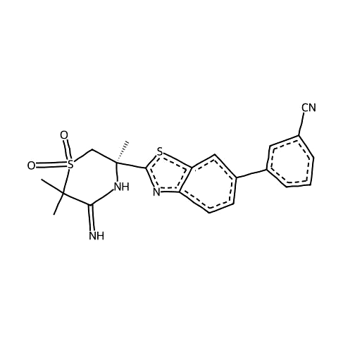 CC1(C)C(=N)N[C@](C)(c2nc3ccc(-c4cccc(C#N)c4)cc3s2)CS1(=O)=O